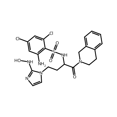 Nc1cc(Cl)cc(Cl)c1S(=O)(=O)NC(CCn1ccnc1NO)C(=O)N1CCc2ccccc2C1